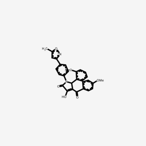 COc1ccc(C(=O)C2=C(O)C(=O)N(c3ccc(-c4cc(C)on4)cc3)C2c2ccccc2OC)cc1